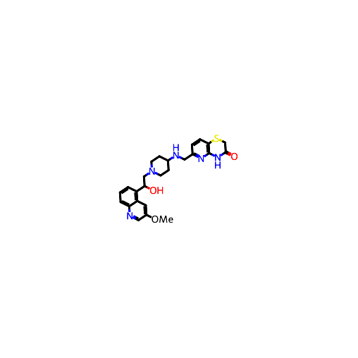 COc1cnc2cccc(C(O)CN3CCC(NCc4ccc5c(n4)NC(=O)CS5)CC3)c2c1